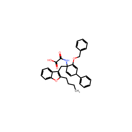 CCCCc1oc2ccccc2c1CC1(NC(=O)C(=O)O)C=CC(c2ccccc2)C=C1OCc1ccccc1